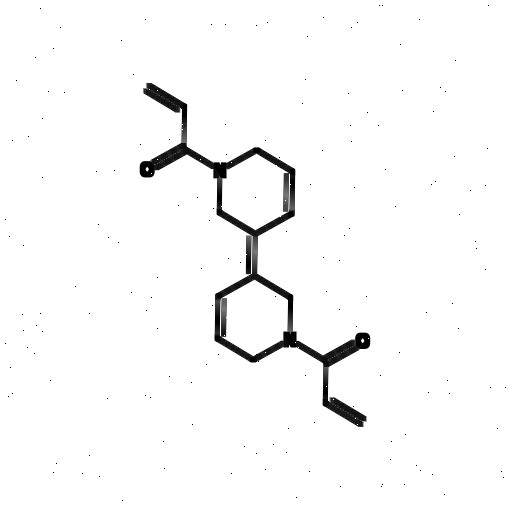 C=CC(=O)N1CC=C/C(=C2/C=CCN(C(=O)C=C)C2)C1